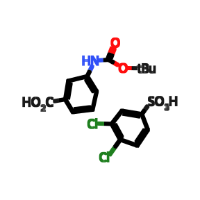 CC(C)(C)OC(=O)Nc1cccc(C(=O)O)c1.O=S(=O)(O)c1ccc(Cl)c(Cl)c1